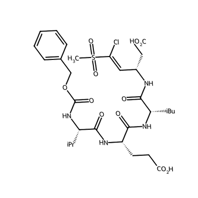 CCC(C)[C@H](NC(=O)[C@H](CCC(=O)O)NC(=O)[C@@H](NC(=O)OCc1ccccc1)C(C)C)C(=O)N[C@H](/C=C(\Cl)S(C)(=O)=O)CC(=O)O